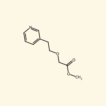 COC(=O)COCCc1cccnc1